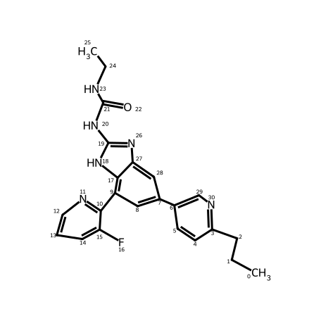 CCCc1ccc(-c2cc(-c3ncccc3F)c3[nH]c(NC(=O)NCC)nc3c2)cn1